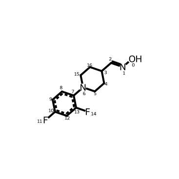 ON=CC1CCN(c2ccc(F)cc2F)CC1